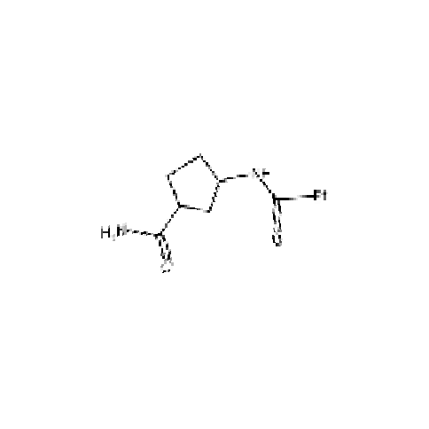 CCC(=O)NC1CCC(C(N)=O)C1